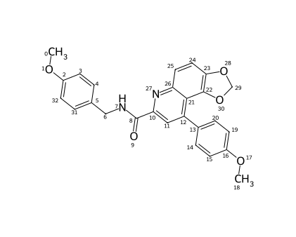 COc1ccc(CNC(=O)c2cc(-c3ccc(OC)cc3)c3c4c(ccc3n2)OCO4)cc1